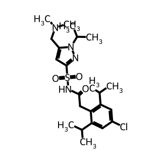 CC(C)c1cc(Cl)cc(C(C)C)c1CC(=O)NS(=O)(=O)c1cc(CN(C)C)n(C(C)C)n1